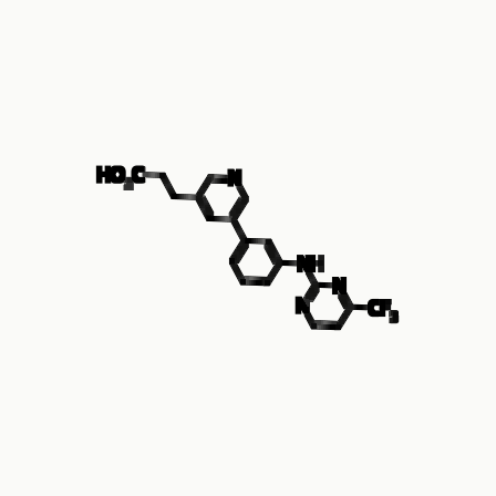 O=C(O)CCc1cncc(-c2cccc(Nc3nccc(C(F)(F)F)n3)c2)c1